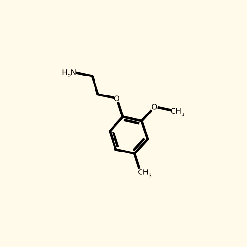 COc1cc(C)ccc1OCCN